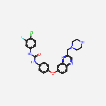 O=C(Nc1ccc(Oc2ccc3ncc(CN4CCNCC4)nc3c2)cc1)Nc1ccc(Cl)c(F)c1